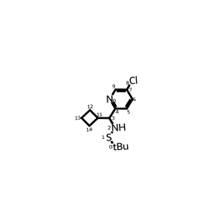 CC(C)(C)SNC(c1ccc(Cl)cn1)C1CCC1